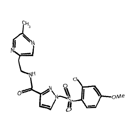 COc1ccc(S(=O)(=O)n2ccc(C(=O)NCc3cnc(C)cn3)n2)c(Cl)c1